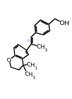 C/C(=C\c1ccc(CO)cc1)c1ccc2c(c1)C(C)(C)CCO2